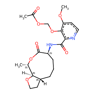 COc1ccnc(C(=O)N[C@H]2CCC[C@@H]3CCO[C@H]3[C@H](C)OC2=O)c1OCOC(C)=O